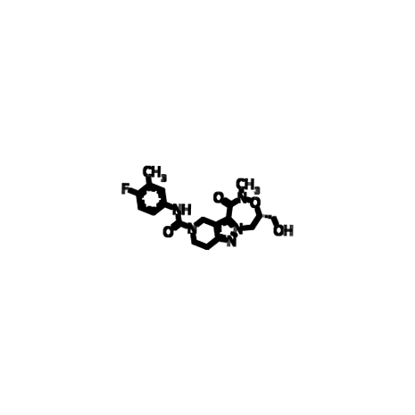 Cc1cc(NC(=O)N2CCc3nn4c(c3C2)C(=O)N(C)O[C@H](CO)C4)ccc1F